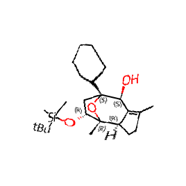 CC1=C2[C@@H](CC1)[C@@]1(C)O[C@](C3CCCCC3)(C[C@H]1O[Si](C)(C)C(C)(C)C)[C@H]2O